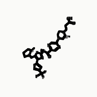 C[C@@H]1CN(c2cnc(C(=O)Nc3nc(-c4cc(C(F)(F)F)cs4)c(CN4CCC[C@H]4C)s3)cn2)CCN1CCC(=O)O